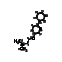 CN(C)CCOc1ccc(-c2ccccc2)nc1